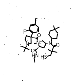 CCNC(=O)[C@@H]1C[C@@H](N(C(=O)C(C)(C)CS)C2CCC(C)(C)CC2)C[N+]1(C)C(=O)[C@]1(c2ccc(F)cc2F)CCN(C(C)(C)C)C1